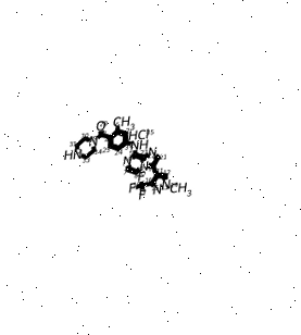 Cc1cc(Nc2nccn3c(-c4cn(C)nc4C(F)(F)F)cnc23)ccc1C(=O)N1CCNCC1.Cl